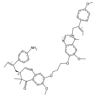 C/C=C(\C[C@H](C)/C=N\c1cc(OCCCOc2cc3c(cc2OC)C(=O)C(C)(C)[C@@H](C/C(=C\C)c2ccc(N)cc2)C=N3)c(OC)cc1C(C)=O)c1ccc(OC)cc1